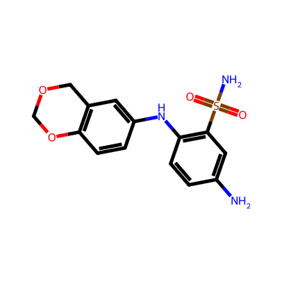 Nc1ccc(Nc2ccc3c(c2)COCO3)c(S(N)(=O)=O)c1